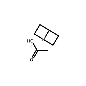 C1CN2CCC12.CC(=O)O